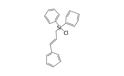 Cl[Si](CC=Cc1ccccc1)(c1ccccc1)c1ccccc1